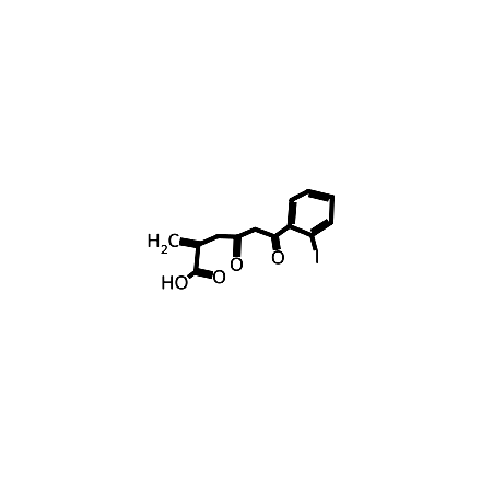 C=C(CC(=O)CC(=O)c1ccccc1I)C(=O)O